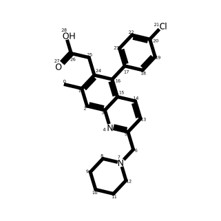 Cc1cc2nc(CN3CCCCC3)ccc2c(-c2ccc(Cl)cc2)c1CC(=O)O